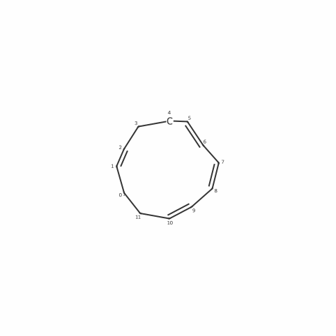 [CH]1C=CCCC=CC=CC=CC1